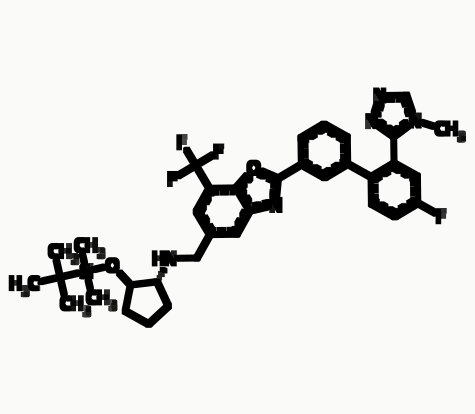 Cn1cnnc1-c1cc(F)ccc1-c1cccc(-c2nc3cc(CN[C@@H]4CCCC4O[Si](C)(C)C(C)(C)C)cc(C(F)(F)F)c3o2)c1